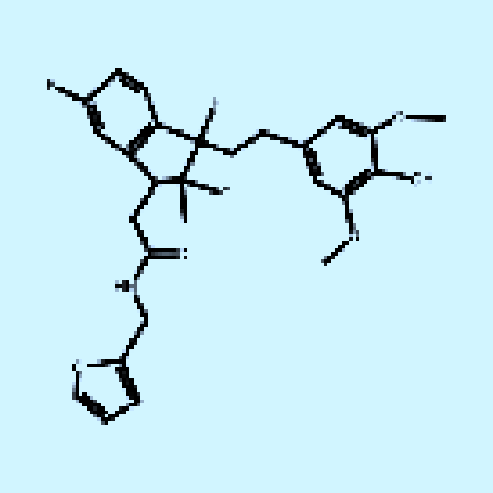 COc1cc(CCC2(F)c3ccc(F)cc3C(CC(=O)NCc3ccco3)C2(C)F)cc(OC)c1O